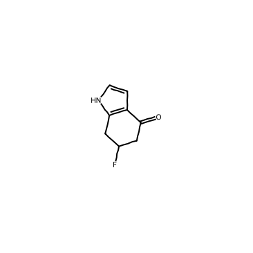 O=C1CC(F)Cc2[nH]ccc21